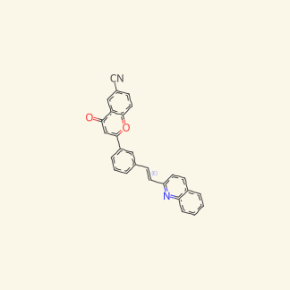 N#Cc1ccc2oc(-c3cccc(/C=C/c4ccc5ccccc5n4)c3)cc(=O)c2c1